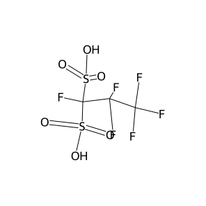 O=S(=O)(O)C(F)(C(F)(F)C(F)(F)F)S(=O)(=O)O